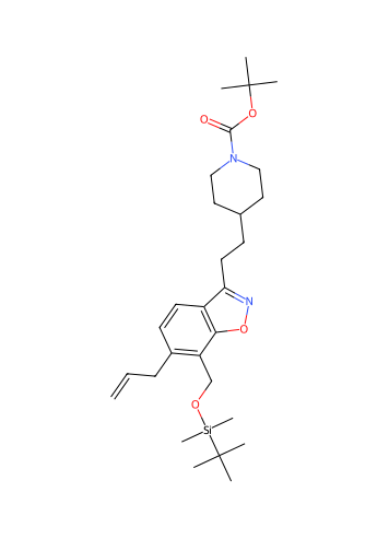 C=CCc1ccc2c(CCC3CCN(C(=O)OC(C)(C)C)CC3)noc2c1CO[Si](C)(C)C(C)(C)C